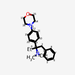 CCC(Cc1ccccc1)(c1ccc(N2CCOCC2)cc1)N(C)C